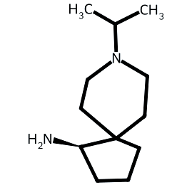 CC(C)N1CCC2(CCC[C@H]2N)CC1